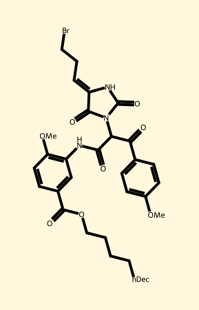 CCCCCCCCCCCCCCOC(=O)c1ccc(OC)c(NC(=O)C(C(=O)c2ccc(OC)cc2)N2C(=O)NC(=CCCBr)C2=O)c1